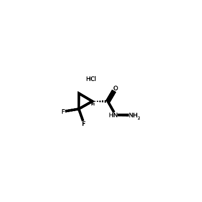 Cl.NNC(=O)[C@H]1CC1(F)F